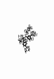 C=C/N=C(\N=C/C)c1ccc([C@@]2(CC(C)(C)C)NC(=N)N([C@H](COC(=O)N3CC(F)(F)C3)c3ccc(Cl)c(-c4ncn[nH]4)c3)C2=O)cc1